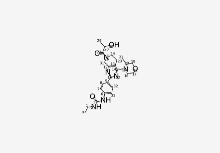 CCNC(=O)Nc1ccc(-c2nc3c(c(N4CCOCC4C)n2)CCN(C(=O)C(C)O)C3)cc1